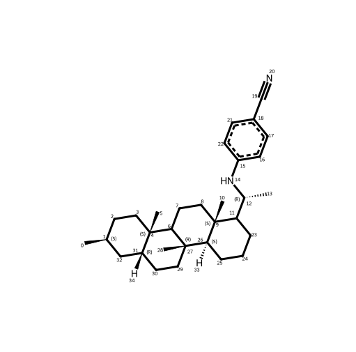 C[C@H]1CC[C@]2(C)C3CC[C@]4(C)C([C@@H](C)Nc5ccc(C#N)cc5)CCC[C@H]4[C@]3(C)CC[C@@H]2C1